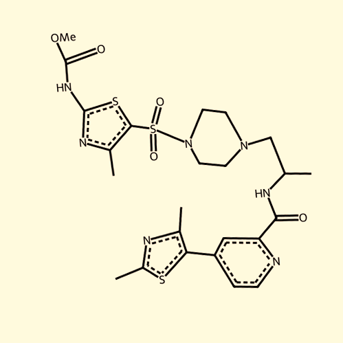 COC(=O)Nc1nc(C)c(S(=O)(=O)N2CCN(CC(C)NC(=O)c3cc(-c4sc(C)nc4C)ccn3)CC2)s1